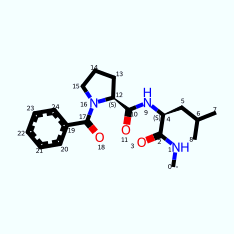 [CH2]NC(=O)[C@H](CC(C)C)NC(=O)[C@@H]1CCCN1C(=O)c1ccccc1